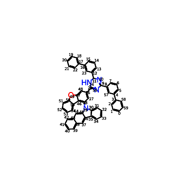 c1ccc(-c2cccc(C3=NC(c4cccc(-c5ccccc5)c4)NC(c4cc(-n5c6ccccc6c6cc7ccccc7cc65)c5c(c4)oc4ccccc45)=N3)c2)cc1